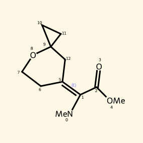 CN/C(C(=O)OC)=C1\CCOC2(CC2)C1